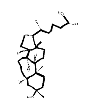 C[C@H](CCC[C@@H](C)O)[C@H]1CC[C@H]2[C@@H]3CC[C@@H]4C[C@@](C)(O)CC[C@]4(C)[C@H]3CCC12C